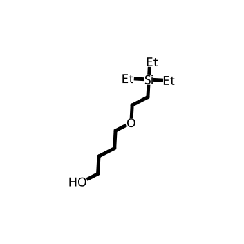 CC[Si](CC)(CC)CCOCCCCO